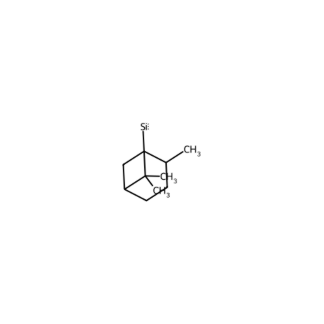 CC1CCC2CC1([Si])C2(C)C